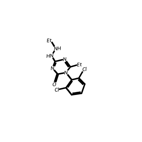 CCNNc1nc(CC)n(-c2c(Cl)cccc2Cl)c(=O)n1